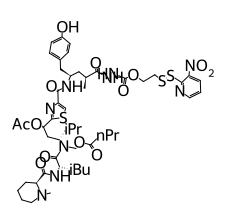 CCCC(=O)OCN(C(=O)[C@@H](NC(=O)[C@@H]1CCCCN1C)[C@@H](C)CC)[C@H](C[C@@H](OC(C)=O)c1nc(C(=O)N[C@@H](Cc2ccc(O)cc2)C[C@H](C)C(=O)NNC(=O)OCCSSc2ncccc2[N+](=O)[O-])cs1)C(C)C